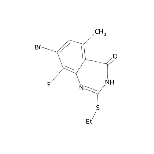 CCSc1nc2c(F)c(Br)cc(C)c2c(=O)[nH]1